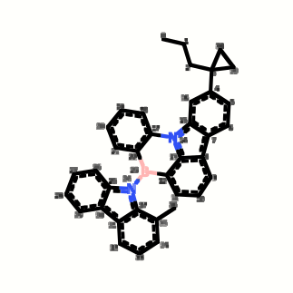 CCCC1(c2ccc3c4cccc5c4n(c3c2)-c2ccccc2B5n2c3ccccc3c3cccc(C)c32)CC1